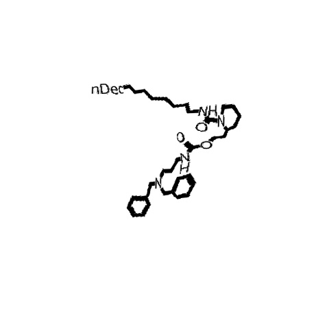 CCCCCCCCCCCCCCCCCCNC(=O)N1CCCCC1CCOC(=O)NCCCN(Cc1ccccc1)Cc1ccccc1